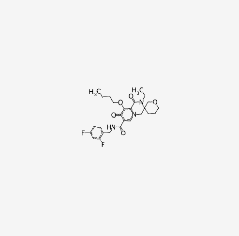 CCCCOc1c2n(cc(C(=O)NCc3ccc(F)cc3F)c1=O)CC1(CCCOC1)N(CC)C2=O